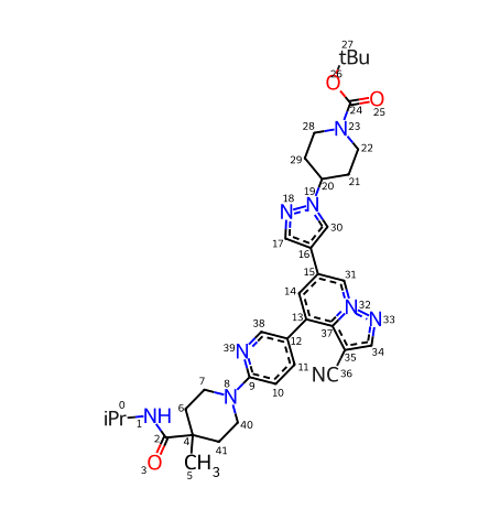 CC(C)NC(=O)C1(C)CCN(c2ccc(-c3cc(-c4cnn(C5CCN(C(=O)OC(C)(C)C)CC5)c4)cn4ncc(C#N)c34)cn2)CC1